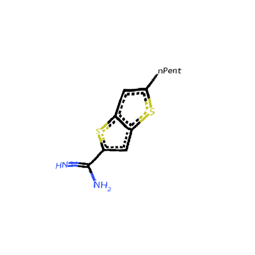 CCCCCc1cc2sc(C(=N)N)cc2s1